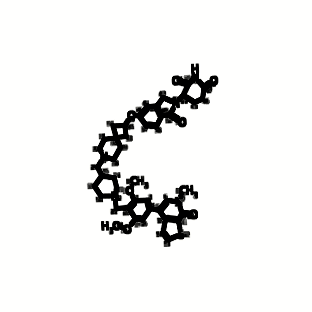 COc1cc(-c2cn(C)c(=O)c3sccc23)cc(OC)c1CN1CCC(CN2CCC3(CC2)CC(Oc2ccc4c(c2)CN(C2CCC(=O)NC2=O)C4=O)C3)CC1